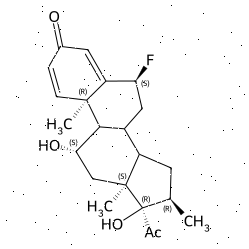 CC(=O)[C@@]1(O)[C@H](C)CC2C3C[C@H](F)C4=CC(=O)C=C[C@]4(C)C3[C@@H](O)C[C@@]21C